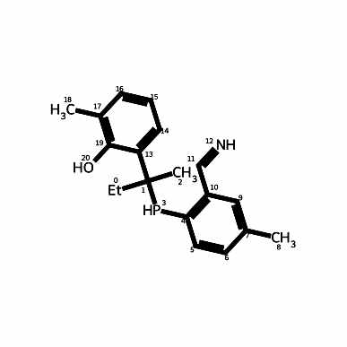 CCC(C)(Pc1ccc(C)cc1C=N)c1cccc(C)c1O